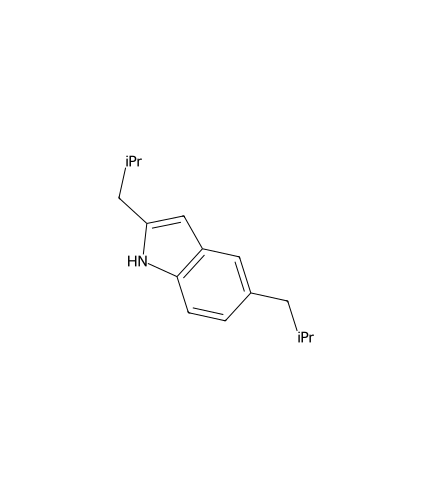 CC(C)Cc1ccc2[nH]c(CC(C)C)cc2c1